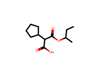 CCC(C)OC(=O)C(C(=O)O)C1CCCC1